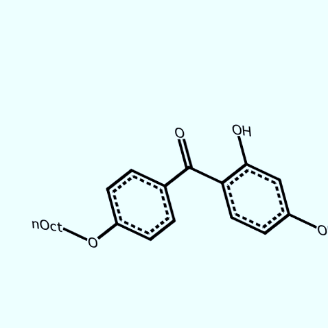 CCCCCCCCOc1ccc(C(=O)c2ccc(O)cc2O)cc1